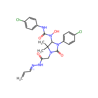 C=C/C=N/NC(=O)CN1C(=O)N(c2ccc(Cl)cc2)C(N(O)C(=O)Nc2ccc(Cl)cc2)C1(C)C